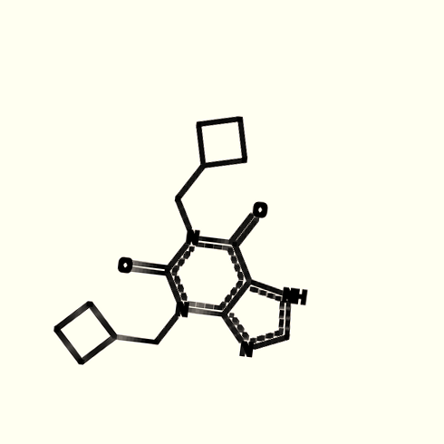 O=c1c2[nH]cnc2n(CC2CCC2)c(=O)n1CC1CCC1